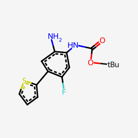 CC(C)(C)OC(=O)Nc1cc(F)c(-c2cccs2)cc1N